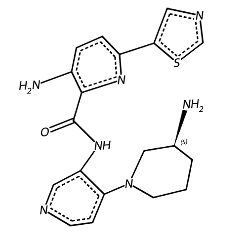 Nc1ccc(-c2cncs2)nc1C(=O)Nc1cnccc1N1CCC[C@H](N)C1